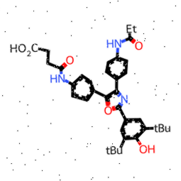 CCC(=O)Nc1ccc(-c2nc(-c3cc(C(C)(C)C)c(O)c(C(C)(C)C)c3)oc2-c2ccc(NC(=O)CCC(=O)O)cc2)cc1